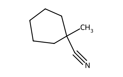 CC1(C#N)CCCCC1